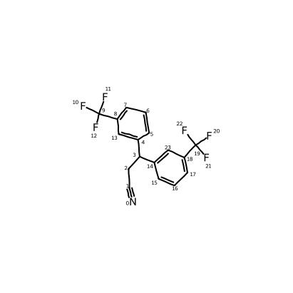 N#CCC(c1cccc(C(F)(F)F)c1)c1cccc(C(F)(F)F)c1